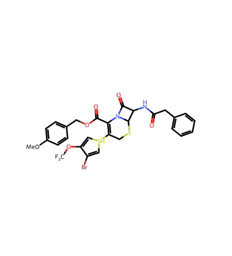 COc1ccc(COC(=O)C2=C([SH]3C=C(Br)C(OC(F)(F)F)=C3)CSC3C(NC(=O)Cc4ccccc4)C(=O)N23)cc1